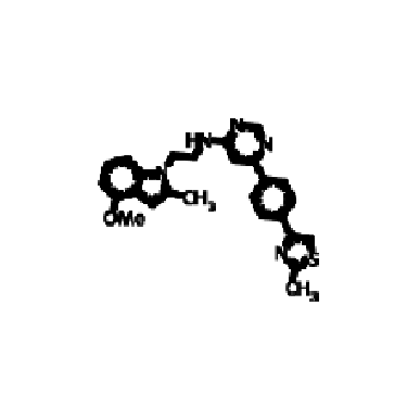 COc1cccc2c1cc(C)n2CCNc1cc(-c2ccc(-c3csc(C)n3)cc2)ncn1